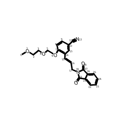 COCCOCOc1ccc(C#N)cc1C=CCN1C(=O)c2ccccc2C1=O